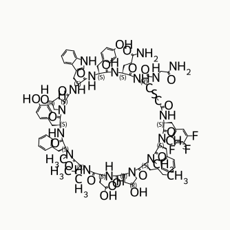 CCCC[C@H]1C(=O)N2C[C@H](O)C[C@@H]2C(=O)N[C@@H](CC(=O)O)C(=O)N[C@@H](C(C)C)C(=O)N(C)[C@@H](Cc2ccccc2)C(=O)N[C@@H](Cc2ccc(O)cc2)C(=O)N2C[C@H](O)C[C@H]2C(=O)N[C@@H](Cc2c[nH]c3ccccc23)C(=O)N[C@@H](Cc2ccc(O)cc2)C(=O)N[C@@H](CCC(N)=O)C(=O)N[C@H](C(=O)NCC(N)=O)CSCC(=O)N[C@@H](Cc2cc(F)c(F)c(F)c2)C(=O)N(C)[C@@H](Cc2ccccc2)C(=O)N1C